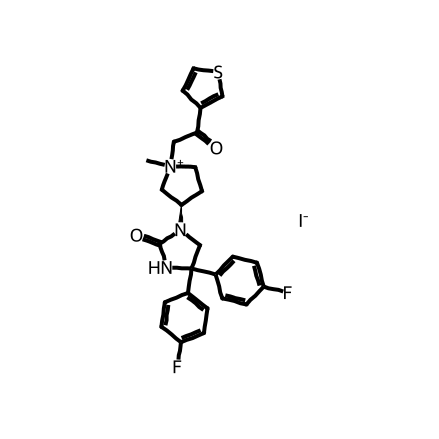 C[N+]1(CC(=O)c2ccsc2)CC[C@@H](N2CC(c3ccc(F)cc3)(c3ccc(F)cc3)NC2=O)C1.[I-]